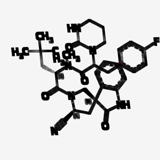 CN(C(=O)C(Cc1ccc(F)cc1)N1CCCNC1=O)[C@@H](CC(C)(C)C)C(=O)N1C[C@]2(C[C@H]1C#N)C(=O)Nc1ccccc12